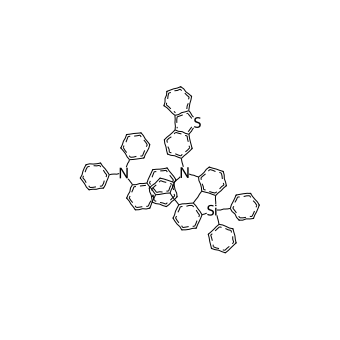 c1ccc(N(c2ccc3c(c2)sc2ccccc23)c2cccc3c2-c2c(-c4cccc5c(N(c6ccccc6)c6ccccc6)cccc45)cccc2[Si]3(c2ccccc2)c2ccccc2)cc1